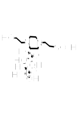 O=P(O)(O)O.O=P(O)(O)O.O=S(=O)(O)CCN1CCN(CCO)CC1